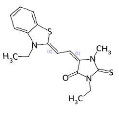 CCN1C(=O)/C(=C\C=C2/Sc3ccccc3N2CC)N(C)C1=S